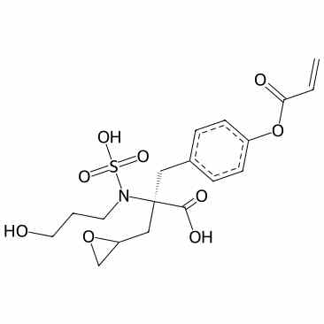 C=CC(=O)Oc1ccc(C[C@@](CC2CO2)(C(=O)O)N(CCCO)S(=O)(=O)O)cc1